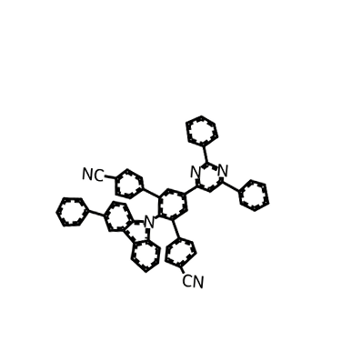 N#Cc1ccc(-c2cc(-c3cc(-c4ccccc4)nc(-c4ccccc4)n3)cc(-c3ccc(C#N)cc3)c2-n2c3ccccc3c3cc(-c4ccccc4)ccc32)cc1